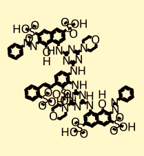 O=S(=O)(O)c1cc(Nc2nc(Nc3ccc(C=Cc4ccccc4S(=O)(=O)O)c(S(=O)(=O)O)c3Nc3nc(Nc4cc(S(=O)(=O)O)cc5cc(S(=O)(=O)O)c(N=Nc6ccccc6)c(O)c45)nc(N4CCOCC4)n3)nc(N3CCOCC3)n2)c2c(O)c(N=Nc3ccccc3)c(S(=O)(=O)O)cc2c1